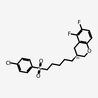 O=S(=O)(CCCCC[C@@H]1COc2ccc(F)c(F)c2C1)c1ccc(Cl)cc1